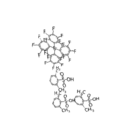 Cc1cccc(C)c1S(=O)(=O)O.Cc1cccc(C)c1S(=O)(=O)O.Cc1cccc(C)c1S(=O)(=O)O.Fc1c(F)c(F)c([B-](c2c(F)c(F)c(F)c(F)c2F)(c2c(F)c(F)c(F)c(F)c2F)c2c(F)c(F)c(F)c(F)c2F)c(F)c1F